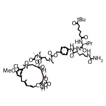 COc1cc2cc(c1Cl)N(C)C(=O)C[C@H](OC(=O)[C@H](C)N(C)C(=O)CCN(C)C(=O)OCc1ccc(NC(=O)[C@H](CCCNC(N)=O)NC(=O)[C@@H](NC(=O)CCCCC(=O)C(C)(C)C)C(C)C)cc1)[C@]1(C)O[C@H]1[C@H](C)[C@@H]1C[C@](O)(C/C=C/C=C(\C)C2)NC(=O)O1